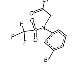 O=C(O)[CH]N(c1cccc(Br)c1)S(=O)(=O)C(F)(F)F